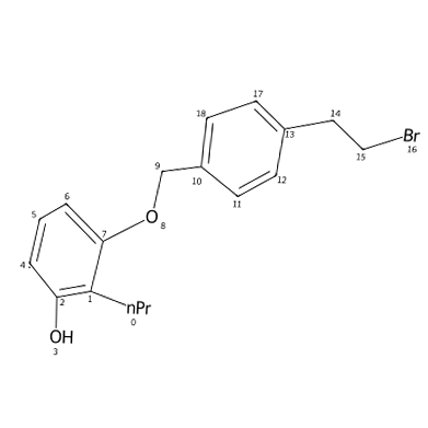 CCCc1c(O)[c]ccc1OCc1ccc(CCBr)cc1